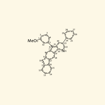 COc1cccc(-n2c3cc4sc5ccccc5c4cc3c3ncc(-c4ccccc4)cc32)c1